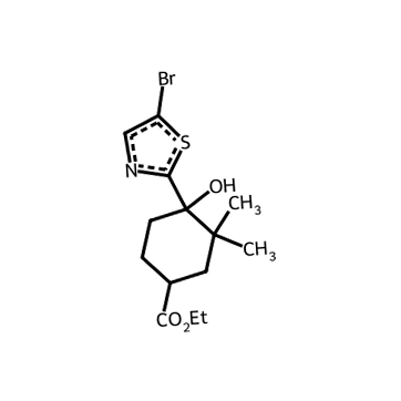 CCOC(=O)C1CCC(O)(c2ncc(Br)s2)C(C)(C)C1